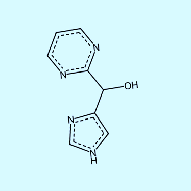 OC(c1c[nH]cn1)c1ncccn1